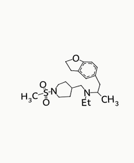 CCN(CC1CCN(S(C)(=O)=O)CC1)C(C)Cc1ccc2c(c1)CCO2